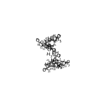 CC(=O)S[C@@H]1CC2=CC(=O)C=C[C@]2(C)[C@H]2CC[C@@]3(C)[C@@H]([C@@H]4C[C@@H]4[C@@]34CCC(=O)O4)[C@H]12.COC(=O)[C@@H]1CC2=CC(=O)CC[C@]2(C)[C@H]2CC[C@@]3(C)[C@@H](CC[C@@]34CCC(=O)O4)[C@H]12